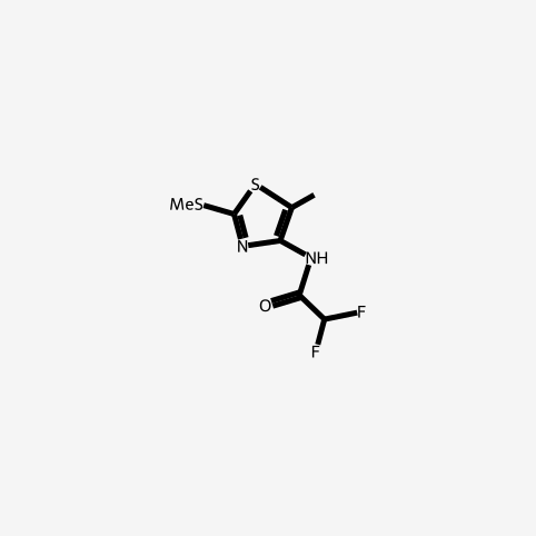 CSc1nc(NC(=O)C(F)F)c(C)s1